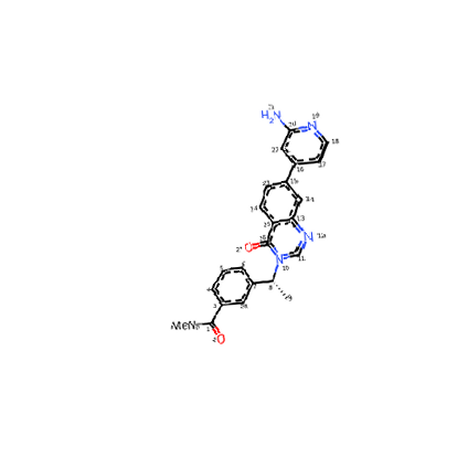 CNC(=O)c1cccc([C@@H](C)n2cnc3cc(-c4ccnc(N)c4)ccc3c2=O)c1